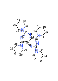 C1CCN(c2nc(N3CCCCC3)c3nc(N4CCCCC4)nc(N4CCCCC4)c3n2)CC1